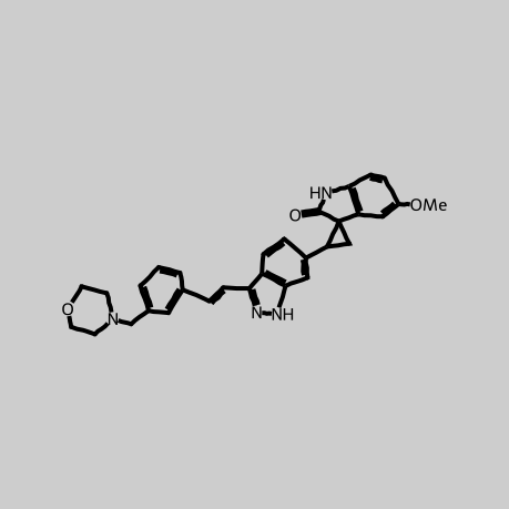 COc1ccc2c(c1)C1(CC1c1ccc3c(C=Cc4cccc(CN5CCOCC5)c4)n[nH]c3c1)C(=O)N2